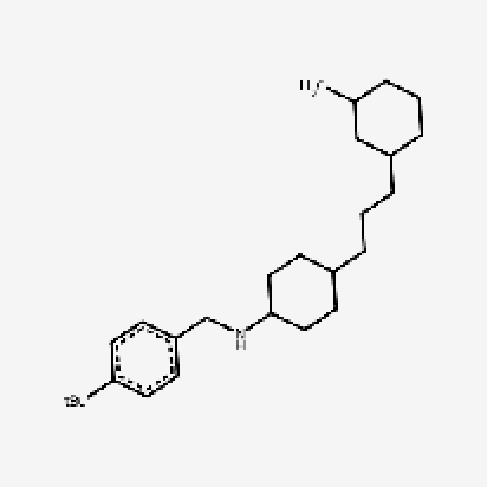 CC1CCCC(CCCC2CCC(NCc3ccc(C(C)(C)C)cc3)CC2)C1